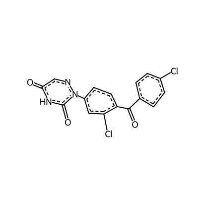 O=C(c1ccc(Cl)cc1)c1ccc(-n2ncc(=O)[nH]c2=O)cc1Cl